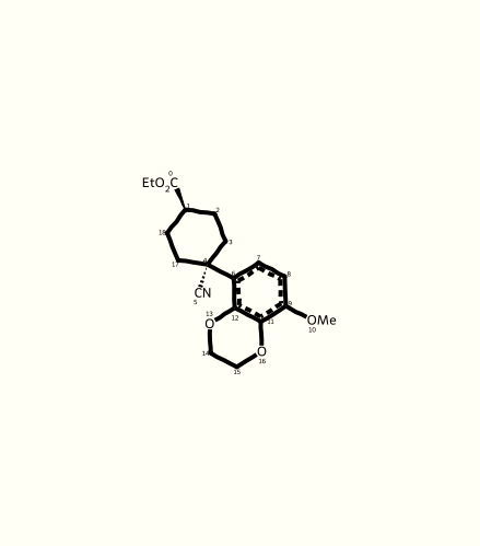 CCOC(=O)[C@H]1CC[C@@](C#N)(c2ccc(OC)c3c2OCCO3)CC1